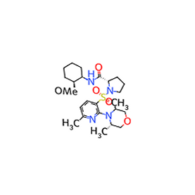 CO[C@H]1CCCC[C@H]1NC(=O)[C@@H]1CCCN1S(=O)(=O)c1ccc(C)nc1N1[C@@H](C)COC[C@@H]1C